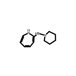 B(C1=CC=CC=CN1)N1CCCCC1